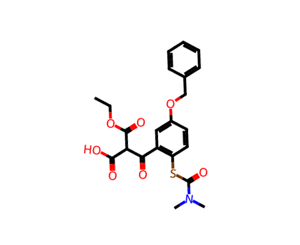 CCOC(=O)C(C(=O)O)C(=O)c1cc(OCc2ccccc2)ccc1SC(=O)N(C)C